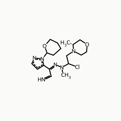 C[C@@H]1COCCN1CC(Cl)N(C)/N=C(\C=N)c1ccnn1C1CCCCO1